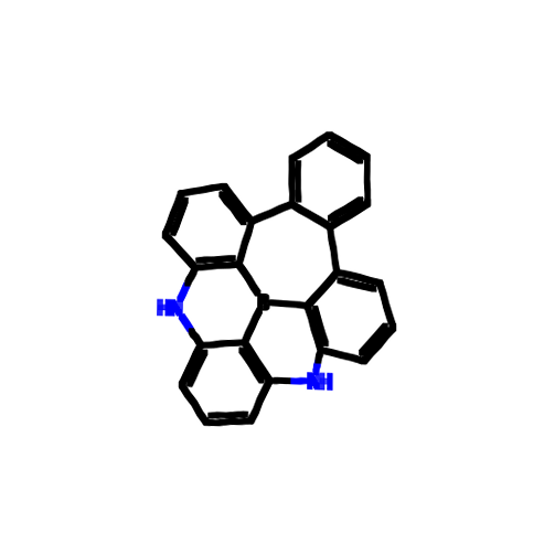 c1cc2c3c(c1)Nc1cccc4c1B3c1c(cccc1-c1ccccc1-4)N2